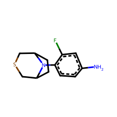 Nc1ccc(N2C3CCC2CSC3)c(F)c1